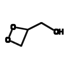 OCC1COO1